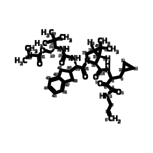 C=CCNC(=O)C(=O)C(CC1CC1)NC(=O)[C@@H]1[C@@H]2[C@H](CN1C(=O)[C@@H](NC(=O)N[C@H](COC(=O)N(C)C)C(C)(C)C)C1Cc3ccccc3C1)C2(C)C